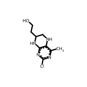 Cc1nc(Cl)nc2c1NCC(CCO)N2